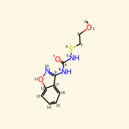 COCCSNC(=O)Nc1noc2ccccc12